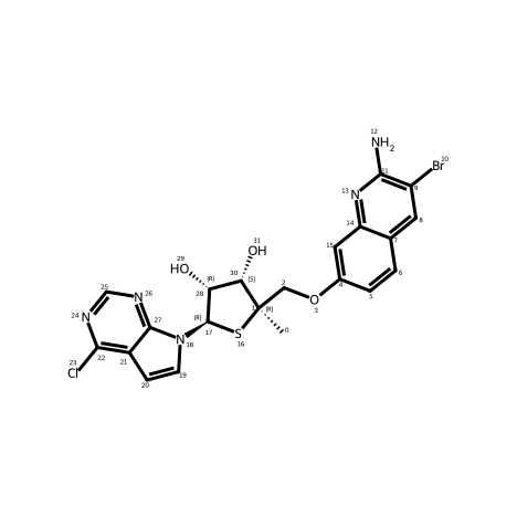 C[C@]1(COc2ccc3cc(Br)c(N)nc3c2)S[C@@H](n2ccc3c(Cl)ncnc32)[C@H](O)[C@@H]1O